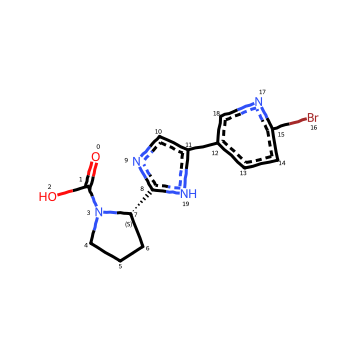 O=C(O)N1CCC[C@H]1c1ncc(-c2ccc(Br)nc2)[nH]1